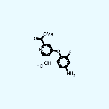 COC(=O)c1cc(Oc2ccc(N)cc2F)ccn1.Cl.Cl